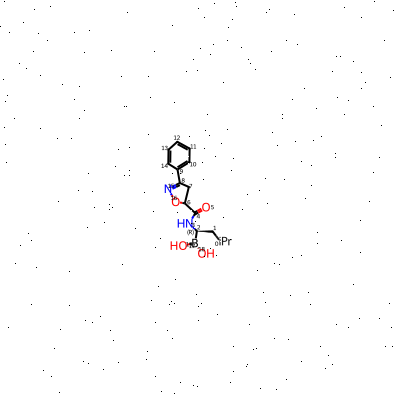 CC(C)C[C@H](NC(=O)C1CC(c2ccccc2)=NO1)B(O)O